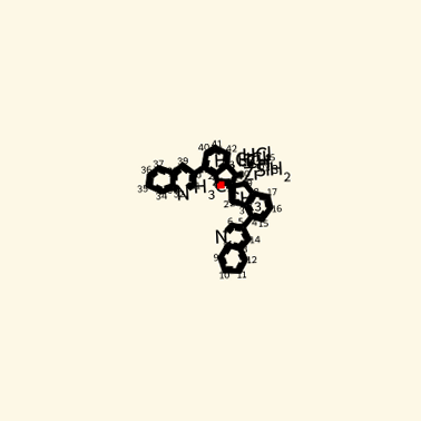 CC1=Cc2c(-c3cnc4ccccc4c3)cccc2[CH]1[Zr]([CH3])([CH3])(=[SiH2])[CH]1C(C)=Cc2c(-c3cnc4ccccc4c3)cccc21.Cl.Cl